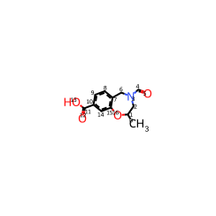 CC1CN(C=O)Cc2ccc(C(=O)O)cc2O1